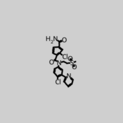 CS(=O)(=O)CCN(C(=O)c1ccc(C(N)=O)cc1Cl)c1ccc(Cl)c(-c2ccccn2)c1